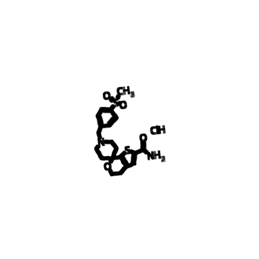 CS(=O)(=O)c1ccc(CN2CCC3(CC2)OCCc2cc(C(N)=O)sc23)cc1.Cl